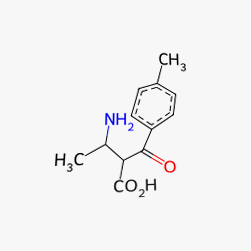 Cc1ccc(C(=O)C(C(=O)O)C(C)N)cc1